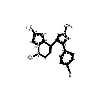 CN1CC=C(c2cn(C)nc2-c2ccc(F)cc2)c2nc(N)cn21